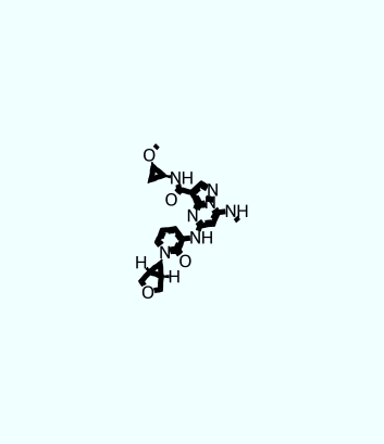 CNc1cc(Nc2cccn([C@@H]3[C@@H]4COC[C@@H]43)c2=O)nc2c(C(=O)N[C@H]3C[C@@H]3OC)cnn12